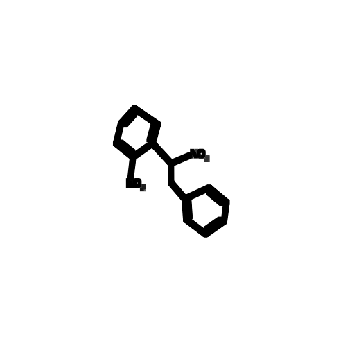 O=[N+]([O-])c1ccccc1C(Cc1ccccc1)[N+](=O)[O-]